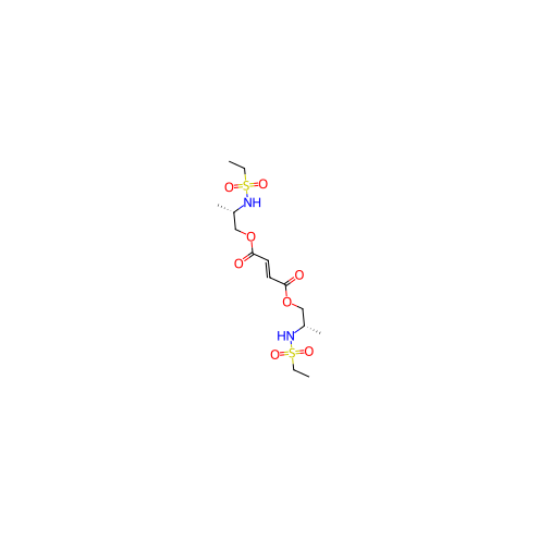 CCS(=O)(=O)N[C@@H](C)COC(=O)/C=C/C(=O)OC[C@H](C)NS(=O)(=O)CC